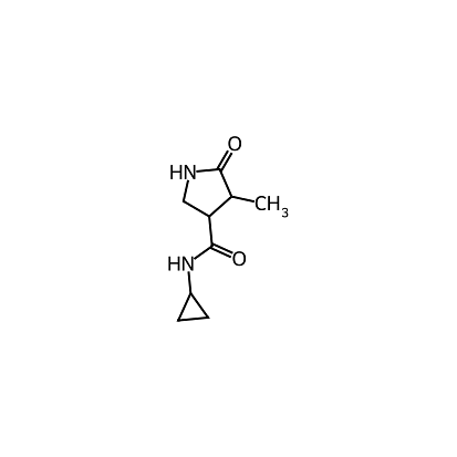 CC1C(=O)NCC1C(=O)NC1CC1